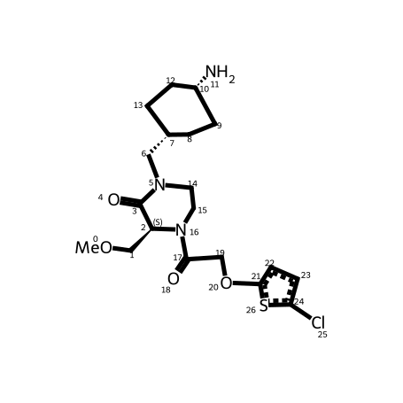 COC[C@H]1C(=O)N(C[C@H]2CC[C@@H](N)CC2)CCN1C(=O)COc1ccc(Cl)s1